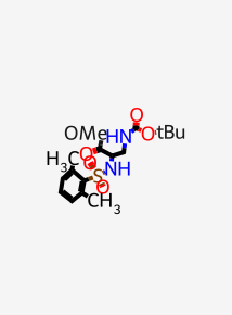 COC(=O)C(CNC(=O)OC(C)(C)C)NS(=O)(=O)c1c(C)cccc1C